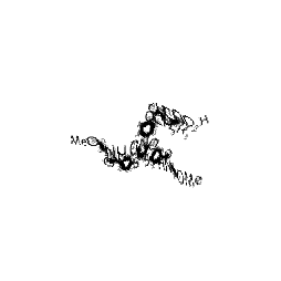 COCCNC(=O)c1ccc(SC2=C(Sc3ccc(C(=O)NCCOC)cc3)C(=O)N(c3ccc(OC(C)(C)COC(C)(C)CC(=O)O)cc3)C2=O)cc1